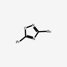 CCC(C)c1noc(C(C)C)n1